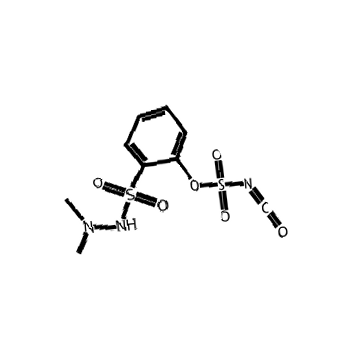 CN(C)NS(=O)(=O)c1ccccc1OS(=O)(=O)N=C=O